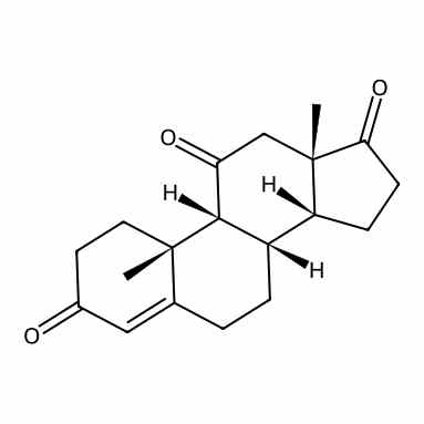 C[C@]12CCC(=O)C=C1CC[C@@H]1[C@H]2C(=O)C[C@]2(C)C(=O)CC[C@H]12